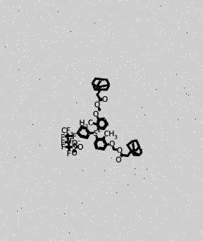 Cc1c(OCOC(=O)CC23CC4CC(CC(C4)C2)C3)cccc1[S+](c1ccccc1)c1cccc(OCOC(=O)CC23CC4CC(CC(C4)C2)C3)c1C.O=S(=O)([O-])C(F)(F)C(F)(F)C(F)(F)C(F)(F)F